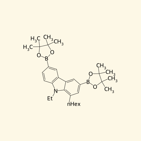 CCCCCCc1cc(B2OC(C)(C)C(C)(C)O2)cc2c3cc(B4OC(C)(C)C(C)(C)O4)ccc3n(CC)c12